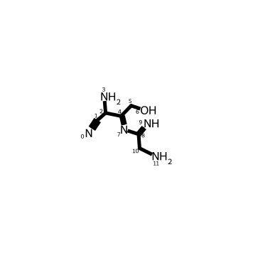 N#CC(N)C(CO)=NC(=N)CN